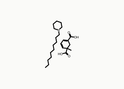 CC1(C(=O)O)C=CC=C(C(=O)O)C1.CCCCCCCCCCN1CCCCC1